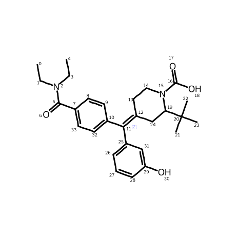 CCN(CC)C(=O)c1ccc(/C(=C2\CCN(C(=O)O)C(C(C)(C)C)C2)c2cccc(O)c2)cc1